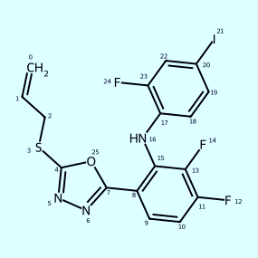 C=CCSc1nnc(-c2ccc(F)c(F)c2Nc2ccc(I)cc2F)o1